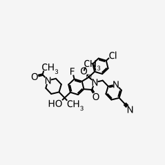 CO[C@]1(c2ccc(Cl)cc2)c2c(F)cc(C(C)(O)C3CCN(C(C)=O)CC3)cc2C(=O)N1Cc1ccc(C#N)cn1